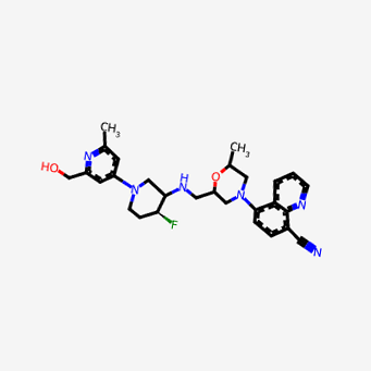 Cc1cc(N2CC[C@H](F)C(NCC3CN(c4ccc(C#N)c5ncccc45)CC(C)O3)C2)cc(CO)n1